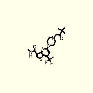 CNC(=O)c1csc2c(C(F)(F)F)cc(N3CCN(CC(=O)C(C)(C)C)CC3)nc12